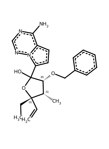 C=C[C@]1(CC)OC(O)(c2ccc3c(N)ncnn23)[C@H](OCc2ccccc2)[C@@H]1C